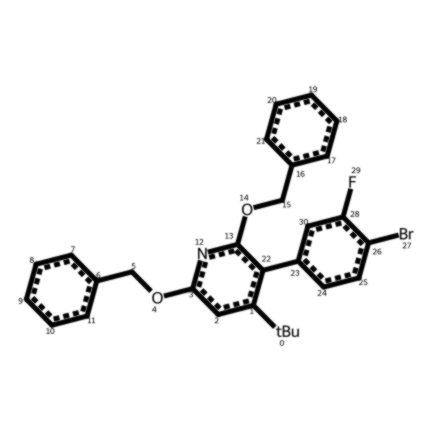 CC(C)(C)c1cc(OCc2ccccc2)nc(OCc2ccccc2)c1-c1ccc(Br)c(F)c1